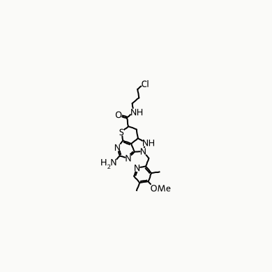 COc1c(C)cnc(CN2NC3CC(C(=O)NCCCCl)Sc4nc(N)nc2c43)c1C